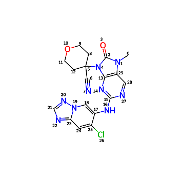 Cn1c(=O)n(C2(C#N)CCOCC2)c2nc(Nc3cn4ncnc4cc3Cl)ncc21